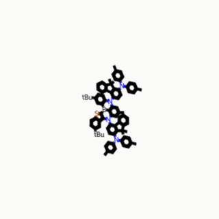 Cc1ccc(N(c2ccc(C)cc2)c2ccc(N3c4ccc(C(C)(C)C)cc4B4c5sc6ccc(C(C)(C)C)cc6c5N(c5ccc(N(c6ccc(C)cc6)c6ccc(C)cc6)c6c5-c5ccccc5C6(C)C)c5cc(C)cc3c54)c3c2C(C)(C)c2ccccc2-3)cc1